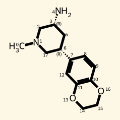 CN1C[C@H](N)C[C@H](c2ccc3c(c2)OCCO3)C1